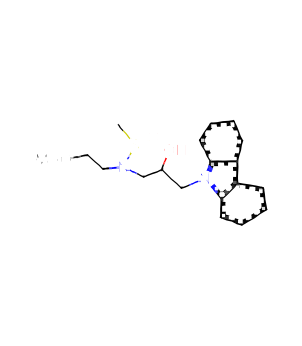 COCCN(CC(O)Cn1c2ccccc2c2ccccc21)[S+](C)[O-]